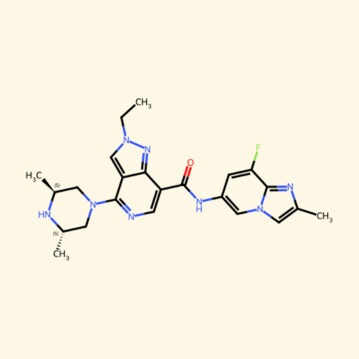 CCn1cc2c(N3C[C@H](C)N[C@@H](C)C3)ncc(C(=O)Nc3cc(F)c4nc(C)cn4c3)c2n1